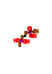 O=P(O)(S)SCSP(O)(O)=S